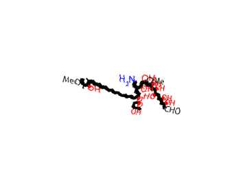 CO[C@@H](C)[C@H](C)C(O)[C@@H](C)/C=C/C=C/C=C/C=C/C=C/C=C/C=C/C(CCC(CCN)[C@@H](O)CC(O)(CC(O)CC(O)C(O)CCC(O)CC(O)CC=O)OC)O[C@@H]1CCC(O)C(C)O1